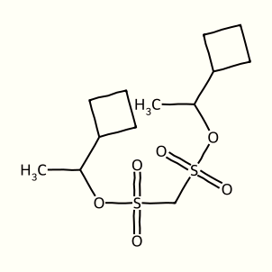 CC(OS(=O)(=O)CS(=O)(=O)OC(C)C1CCC1)C1CCC1